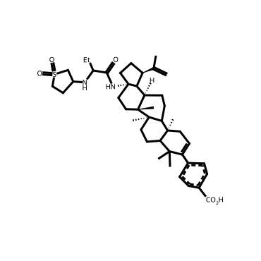 C=C(C)[C@@H]1CC[C@]2(NC(=O)C(CC)NC3CCS(=O)(=O)C3)CC[C@]3(C)[C@H](CCC4[C@@]5(C)CC=C(c6ccc(C(=O)O)cc6)C(C)(C)C5CC[C@]43C)C12